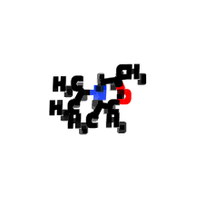 CC(=O)CN(C(C)C)C(C)C